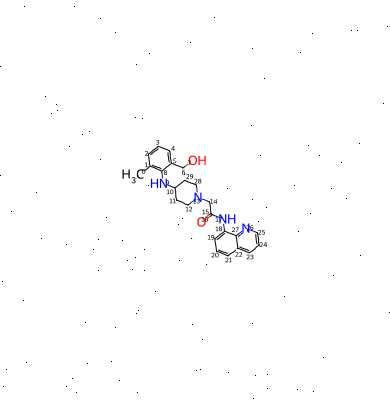 Cc1cccc(CO)c1NC1CCN(CC(=O)Nc2cccc3cccnc23)CC1